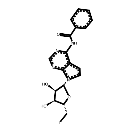 O=C(Nc1ncnc2c1ccn2[C@@H]1O[C@H](CI)[C@@H](O)[C@H]1O)c1ccccc1